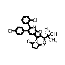 CC(C)(O)C(=O)c1oc2nc(-c3ccccc3Cl)c(-c3ccc(Cl)cc3)cc2c1N1C(=O)CCC1=O